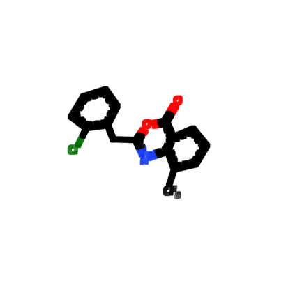 O=c1oc(Cc2ccccc2Cl)nc2c(C(F)(F)F)cccc12